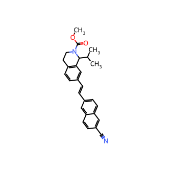 COC(=O)N1CCc2ccc(C=Cc3ccc4cc(C#N)ccc4c3)cc2C1C(C)C